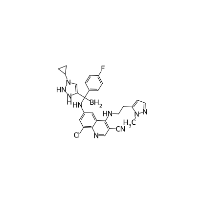 BC(Nc1cc(Cl)c2ncc(C#N)c(NCCc3ccnn3C)c2c1)(C1=CN(C2CC2)NN1)c1ccc(F)cc1